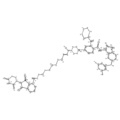 O=C1CCC(N2C(=O)c3cccc(NCCOCCOCCOCCC(=O)N4CCN(c5ccc(C(=O)Nc6n[nH]c7ccc(Cc8cc(F)cc(F)c8)cc67)c(NC6CCOCC6)c5)CC4)c3C2=O)C(=O)N1